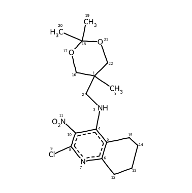 CC1(CNc2c3c(nc(Cl)c2[N+](=O)[O-])CCCC3)COC(C)(C)OC1